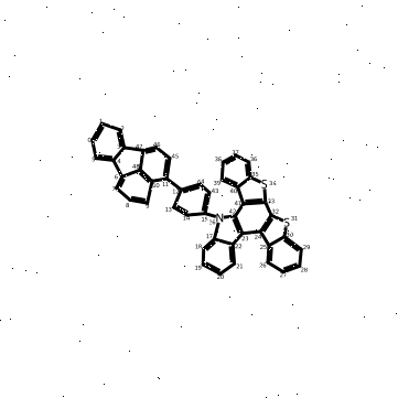 c1ccc2c(c1)-c1cccc3c(-c4ccc(-n5c6ccccc6c6c7c8ccccc8sc7c7sc8ccccc8c7c65)cc4)ccc-2c13